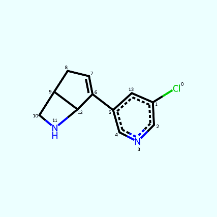 Clc1cncc(C2=CCC3CNC23)c1